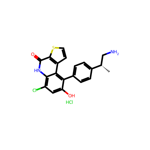 C[C@@H](CN)c1ccc(-c2c(O)cc(Cl)c3[nH]c(=O)c4sccc4c23)cc1.Cl